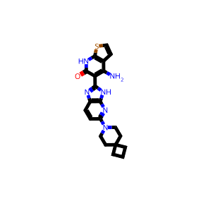 Nc1c(-c2nc3ccc(N4CCC5(CCC5)CC4)nc3[nH]2)c(=O)[nH]c2sccc12